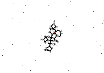 CCC(C)(C1CCNC1)C(C)(C1CNC1)C(C)(C(C)N1CCNCC1)N1CCC2(CC1)CNC2